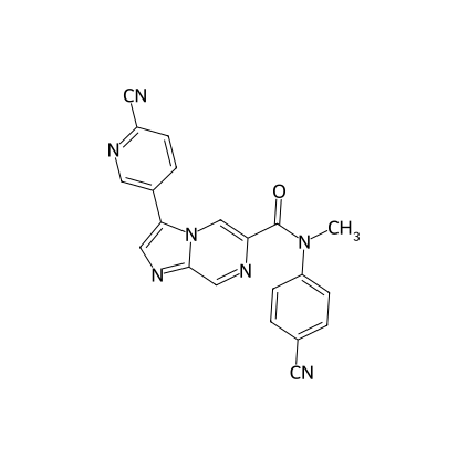 CN(C(=O)c1cn2c(-c3ccc(C#N)nc3)cnc2cn1)c1ccc(C#N)cc1